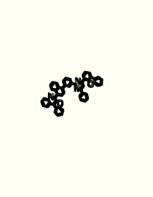 c1ccc(-c2cc(-c3cccc4c3oc3ccccc34)nc(-c3cccc(-c4ccc(-c5nc6ccccc6c6c5oc5ccccc56)c5ccccc45)c3)n2)cc1